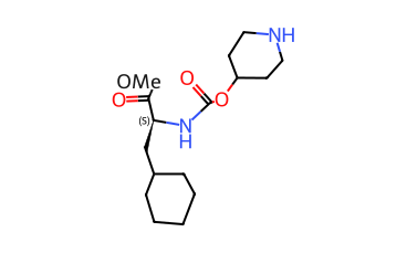 COC(=O)[C@H](CC1CCCCC1)NC(=O)OC1CCNCC1